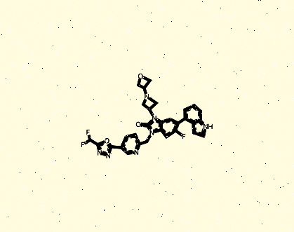 O=c1n(Cc2ccc(-c3nnc(C(F)F)o3)cn2)c2cc(F)c(-c3cccc4[nH]ccc34)cc2n1C1CN(C2COC2)C1